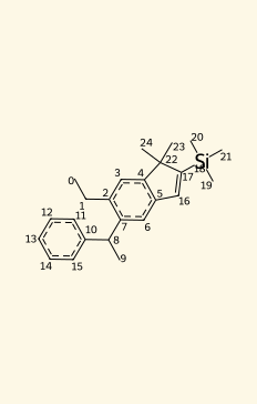 CCc1cc2c(cc1C(C)c1ccccc1)C=C([Si](C)(C)C)C2(C)C